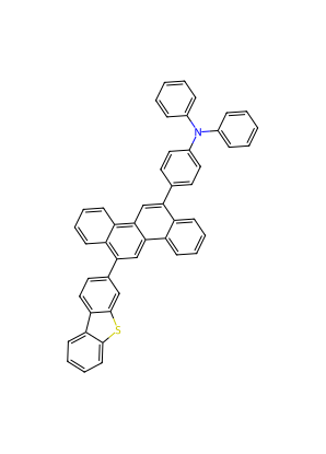 c1ccc(N(c2ccccc2)c2ccc(-c3cc4c5ccccc5c(-c5ccc6c(c5)sc5ccccc56)cc4c4ccccc34)cc2)cc1